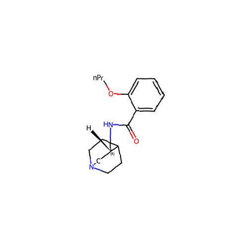 CCCOc1ccccc1C(=O)N[C@H]1CN2CCC1CC2